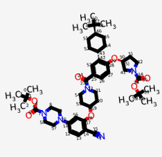 CC(C)(C)OC(=O)N1CCN(c2ccc(C#N)c(OC3CCN(C(=O)c4ccc(O[C@H]5CCN(C(=O)OC(C)(C)C)C5)c([C@H]5CC[C@H](C(C)(C)C)CC5)c4)CC3)c2)CC1